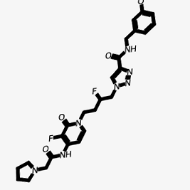 O=C(CN1CCCC1)Nc1ccn(CCC(F)Cn2cc(C(=O)NCc3cccc(OC(F)(F)F)c3)nn2)c(=O)c1F